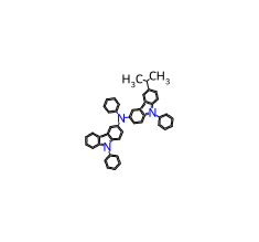 CC(C)c1ccc2c(c1)c1cc(N(c3ccccc3)c3ccc4c(c3)c3ccccc3n4-c3ccccc3)ccc1n2-c1ccccc1